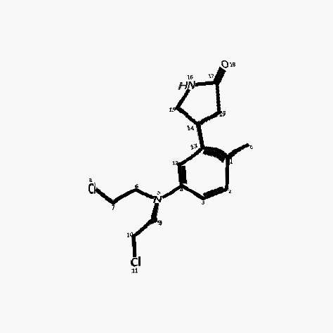 Cc1ccc(N(CCCl)CCCl)cc1C1CNC(=O)C1